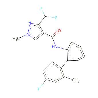 Cc1cc(F)ccc1-c1ccccc1NC(=O)c1cn(C)nc1C(F)F